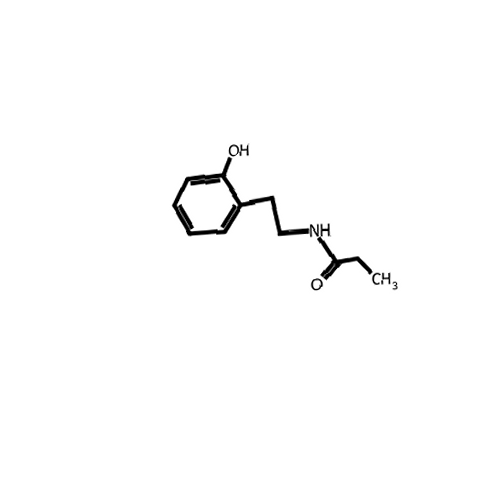 CCC(=O)NCCc1ccccc1O